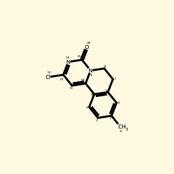 Cc1ccc2c(c1)CCn1c-2cc(Cl)nc1=O